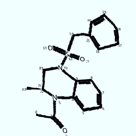 CC(=O)N1c2ccccc2N(S(=O)(=O)Cc2ccccc2)C[C@@H]1C